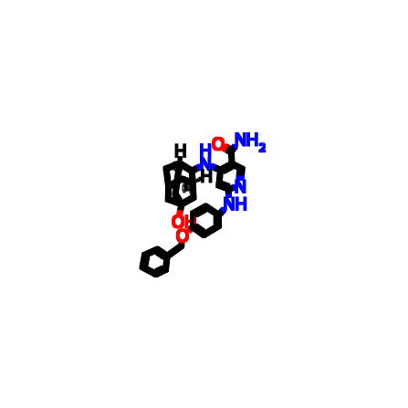 NC(=O)c1cnc(Nc2ccc(OCc3ccccc3)cc2)cc1NC1[C@@H]2CC3C[C@H]1CC(O)(C3)C2